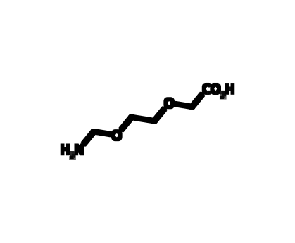 NCOCCOCC(=O)O